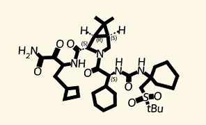 CC1(C)[C@@H]2[C@@H](C(=O)NC(CC3CCC3)C(=O)C(N)=O)N(C(=O)[C@@H](NC(=O)NC3(CS(=O)(=O)C(C)(C)C)CCCCC3)C3CCCCC3)C[C@@H]21